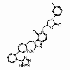 CCCCc1nc2ccn(CC3CN(c4cccc(C)c4)C(=O)O3)c(=O)c2n1Cc1ccc(-c2ccccc2-c2nnn[nH]2)cc1